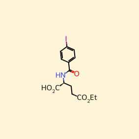 CCOC(=O)CC[C@H](NC(=O)c1ccc(I)cc1)C(=O)O